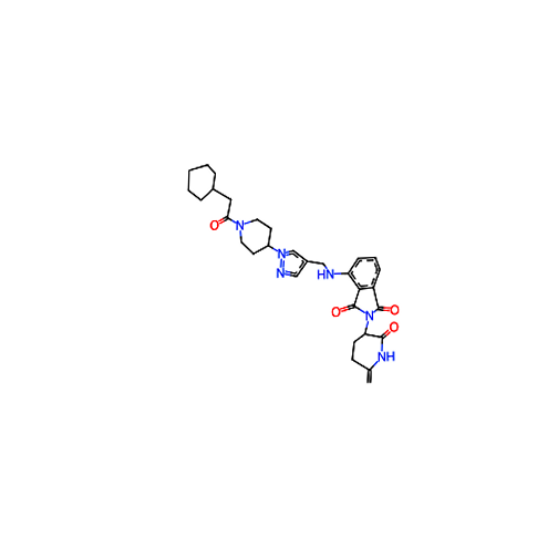 C=C1CCC(N2C(=O)c3cccc(NCc4cnn(C5CCN(C(=O)CC6CCCCC6)CC5)c4)c3C2=O)C(=O)N1